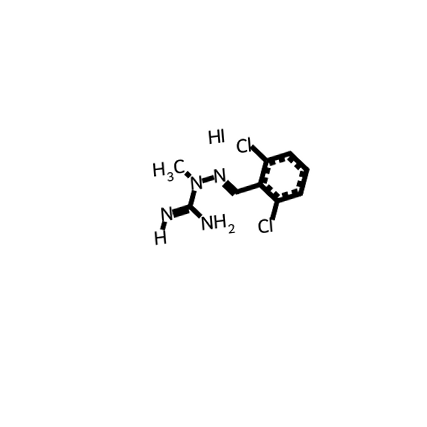 I.[H]/N=C(\N)N(C)N=Cc1c(Cl)cccc1Cl